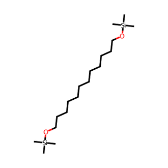 C[Si](C)(C)OCCCCCCCCCCCCO[Si](C)(C)C